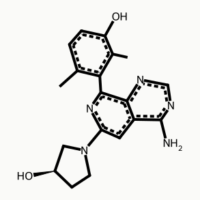 Cc1ccc(O)c(C)c1-c1nc(N2CC[C@@H](O)C2)cc2c(N)ncnc12